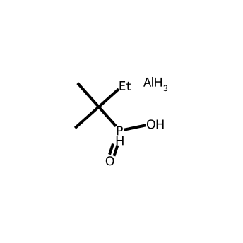 CCC(C)(C)[PH](=O)O.[AlH3]